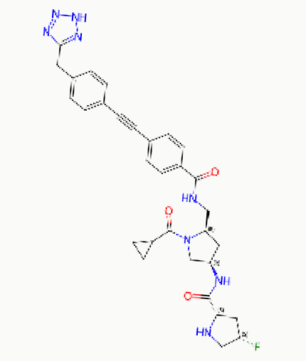 O=C(NC[C@H]1C[C@@H](NC(=O)[C@@H]2C[C@H](F)CN2)CN1C(=O)C1CC1)c1ccc(C#Cc2ccc(Cc3nn[nH]n3)cc2)cc1